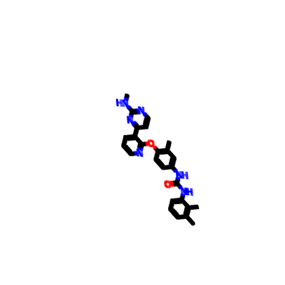 CNc1nccc(-c2cccnc2Oc2ccc(NC(=O)Nc3cccc(C)c3C)cc2C)n1